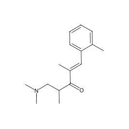 C/C(=C\c1ccccc1C)C(=O)C(C)CN(C)C